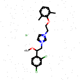 CCCCOC(C[n+]1ccn(CCOc2c(C)cccc2C)c1)c1ccc(Cl)cc1Cl.[Br-]